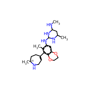 CNC1CC(C)NC(Nc2cc3c(c(C4=CCN[C@@H](C)CC4)c2C)OCCO3)N1